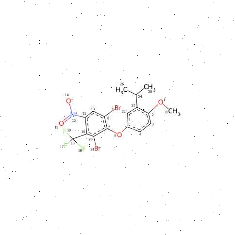 COc1ccc(Oc2c(Br)cc([N+](=O)[O-])c(C(F)(F)F)c2Br)cc1C(C)C